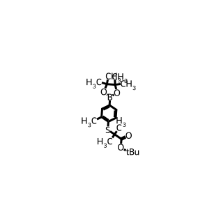 Cc1cc(B2OC(C)(C)C(C)(C)O2)ccc1SC(C)(C)C(=O)OC(C)(C)C